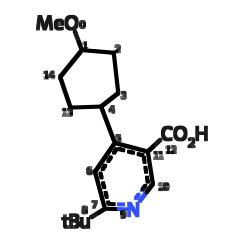 COC1CCC(c2cc(C(C)(C)C)ncc2C(=O)O)CC1